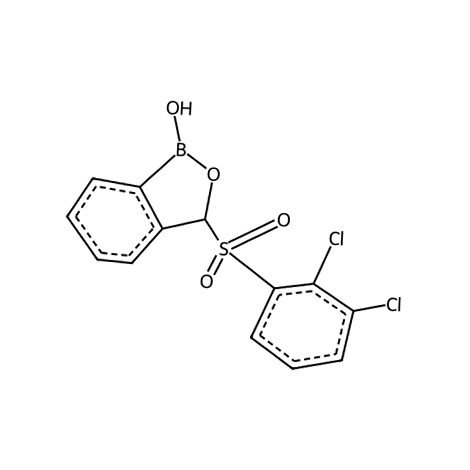 O=S(=O)(c1cccc(Cl)c1Cl)C1OB(O)c2ccccc21